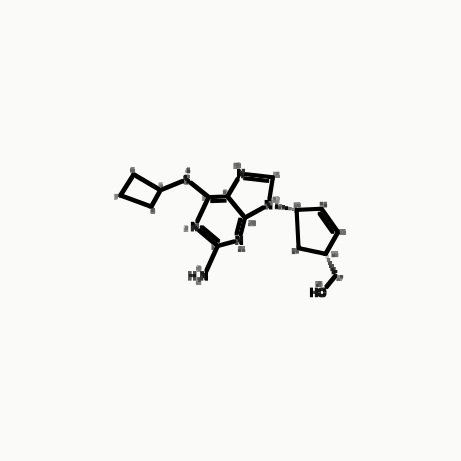 Nc1nc(SC2CCC2)c2ncn([C@@H]3C=C[C@H](CO)C3)c2n1